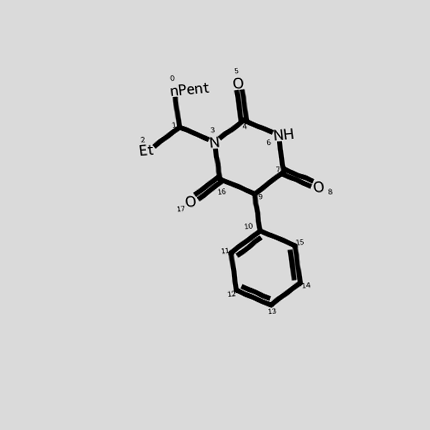 CCCCCC(CC)N1C(=O)NC(=O)C(c2ccccc2)C1=O